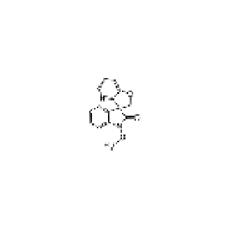 CON1C(=O)C2(COc3cccnc32)c2ccccc21